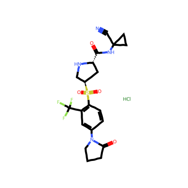 Cl.N#CC1(NC(=O)[C@@H]2C[C@@H](S(=O)(=O)c3ccc(N4CCCC4=O)cc3C(F)(F)F)CN2)CC1